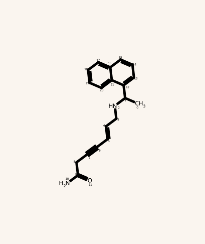 CC(NCC=CC#CCC(N)=O)c1cccc2ccccc12